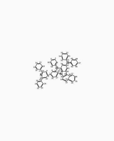 c1ccc(B2c3cc(-c4cc(-c5ccccc5)nc(-c5ccccc5)c4)ccc3-n3c4ccc5ccccc5c4c4cc(N(c5ccccc5)c5ccccc5)cc2c43)cc1